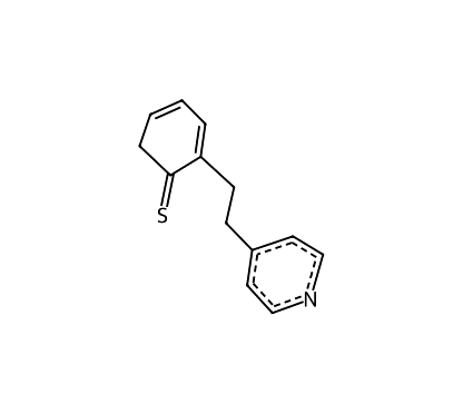 S=C1CC=CC=C1CCc1ccncc1